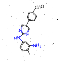 Cc1ccc(Nc2ncc(-c3ccc(C=O)cc3)cn2)cc1N